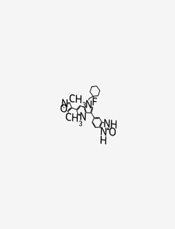 Cc1noc(C)c1-c1cnc2c(-c3ccc4[nH]c(=O)[nH]c4c3)cn(CC3(F)CCCCC3)c2c1